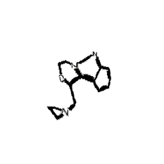 c1ccc2c3n(nc2c1)CCOC3CN1CC1